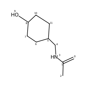 C=C(C)NCC1CCC(O)CC1